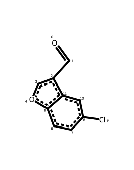 O=Cc1coc2ccc(Cl)cc12